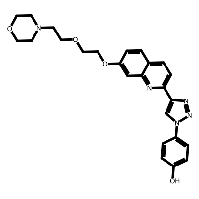 Oc1ccc(-n2cc(-c3ccc4ccc(OCCOCCN5CCOCC5)cc4n3)nn2)cc1